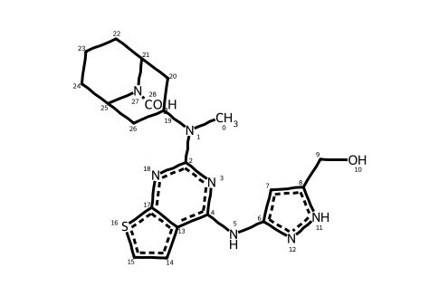 CN(c1nc(Nc2cc(CO)[nH]n2)c2ccsc2n1)C1CC2CCCC(C1)N2C(=O)O